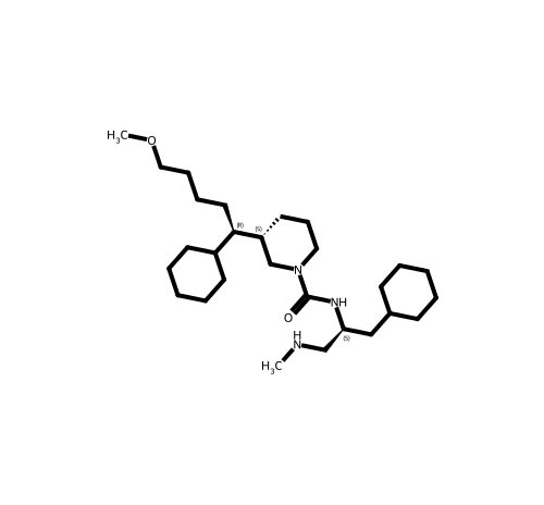 CNC[C@H](CC1CCCCC1)NC(=O)N1CCC[C@@H]([C@H](CCCCOC)C2CCCCC2)C1